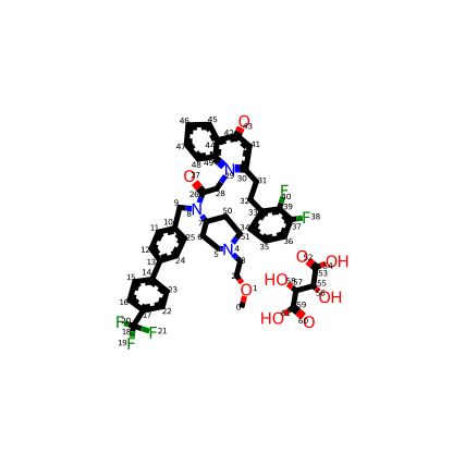 COCCN1CCC(N(Cc2ccc(-c3ccc(C(F)(F)F)cc3)cc2)C(=O)Cn2c(CCc3cccc(F)c3F)cc(=O)c3ccccc32)CC1.O=C(O)C(O)C(O)C(=O)O